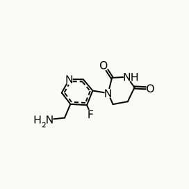 NCc1cncc(N2CCC(=O)NC2=O)c1F